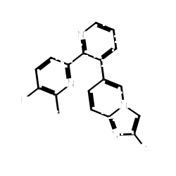 CC(=O)c1cn2cc(-c3cccnc3-c3ccc(F)c(C)n3)ccc2n1